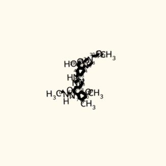 CCNc1nc(-c2cc(C)cc(OC)c2)c(-c2ccnc(Nc3ccc(N4CCN(CCOC)CC4)c(C(=O)O)c3)n2)o1